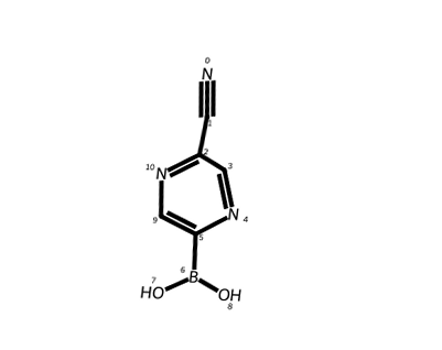 N#Cc1cnc(B(O)O)cn1